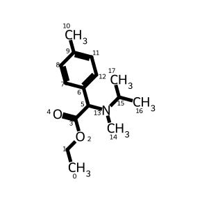 CCOC(=O)C(c1ccc(C)cc1)N(C)C(C)C